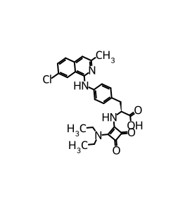 CCN(CC)c1c(N[C@@H](Cc2ccc(Nc3nc(C)cc4ccc(Cl)cc34)cc2)C(=O)O)c(=O)c1=O